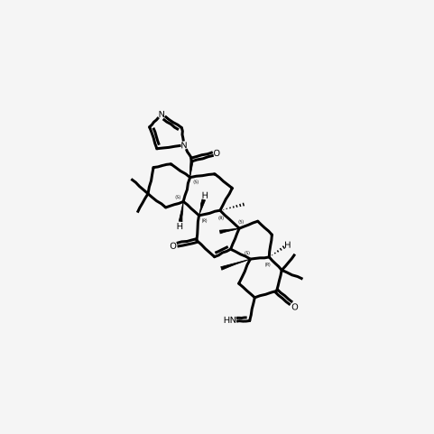 CC1(C)CC[C@]2(C(=O)n3ccnc3)CC[C@]3(C)[C@H](C(=O)C=C4[C@@]5(C)CC(C=N)C(=O)C(C)(C)[C@@H]5CC[C@]43C)[C@@H]2C1